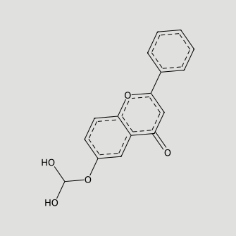 O=c1cc(-c2ccccc2)oc2ccc(OC(O)O)cc12